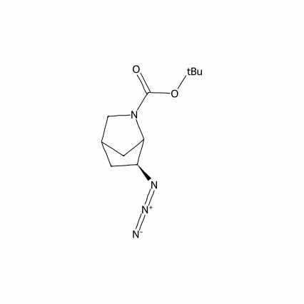 CC(C)(C)OC(=O)N1CC2CC1[C@@H](N=[N+]=[N-])C2